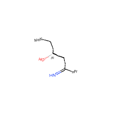 CCCC(=N)C[C@H](O)CNC